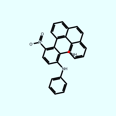 NCc1c(Nc2ccccc2)ccc([N+](=O)[O-])c1-c1cccc2ccc3ccccc3c12